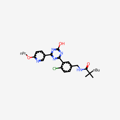 CCCCC(C)(C)C(=O)NCc1ccc(Cl)c(-c2nc(O)nc(-c3ccc(OCCC)nc3)n2)c1